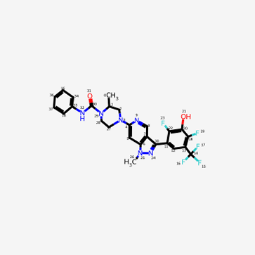 CC1CN(c2cc3c(cn2)c(-c2cc(C(F)(F)F)c(F)c(O)c2F)nn3C)CCN1C(=O)Nc1ccccc1